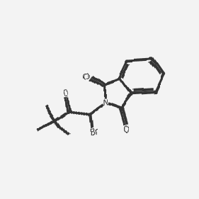 CC(C)(C)C(=O)C(Br)N1C(=O)c2ccccc2C1=O